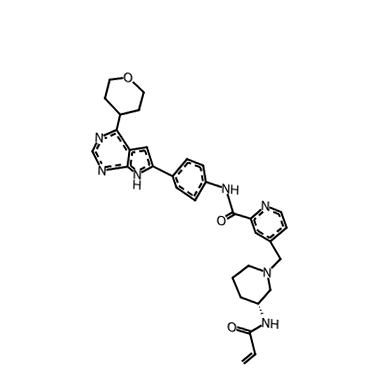 C=CC(=O)N[C@@H]1CCCN(Cc2ccnc(C(=O)Nc3ccc(-c4cc5c(C6CCOCC6)ncnc5[nH]4)cc3)c2)C1